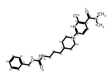 CN(C)C(=O)c1ccc(N2CCC(CCCNC(=O)OCc3ccccc3)CC2)nc1Cl